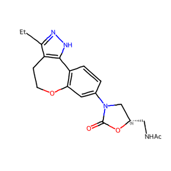 CCc1n[nH]c2c1CCOc1cc(N3C[C@H](CNC(C)=O)OC3=O)ccc1-2